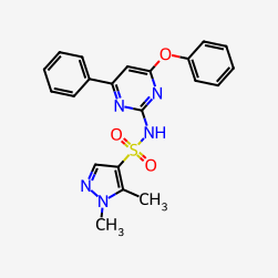 Cc1c(S(=O)(=O)Nc2nc(Oc3ccccc3)cc(-c3ccccc3)n2)cnn1C